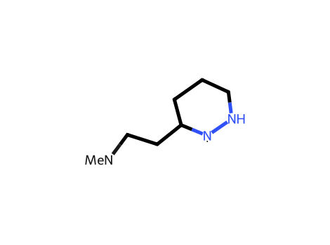 CNCCC1CCCN[N]1